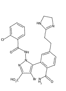 NC(=O)c1ccc(CCC2=NCCN2)cc1-c1c(Br)c(C(=O)O)nn1NC(=O)c1ccccc1Cl